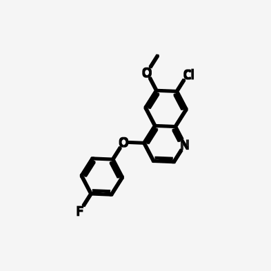 COc1cc2c(Oc3ccc(F)cc3)ccnc2cc1Cl